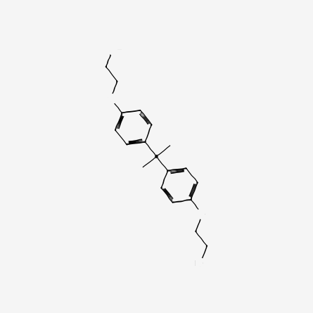 CC(C)(c1ccc(OCCO)cc1)c1ccc(OCCO)cc1